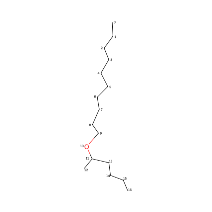 CCCCCCCCCCOC(C)CCCC